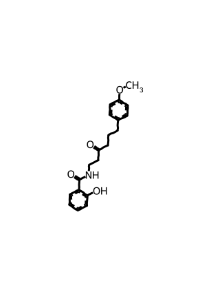 COc1ccc(CCCC(=O)CCNC(=O)c2ccccc2O)cc1